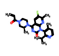 C=CC(=O)N1CCN(c2nc(=O)n(-c3c(C)ccnc3C(C)C)c3nc(C)c(F)cc23)[C@@H](C)C1